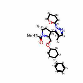 COC(=O)N1C(CO[C@H]2CC[C@@H](c3ccccc3)CC2)C(c2c(C)cnn2C2CCCCO2)C[C@H]1C